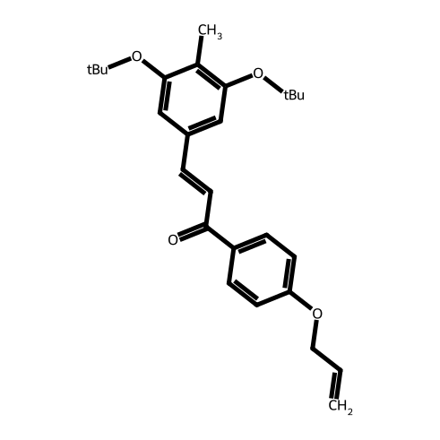 C=CCOc1ccc(C(=O)/C=C/c2cc(OC(C)(C)C)c(C)c(OC(C)(C)C)c2)cc1